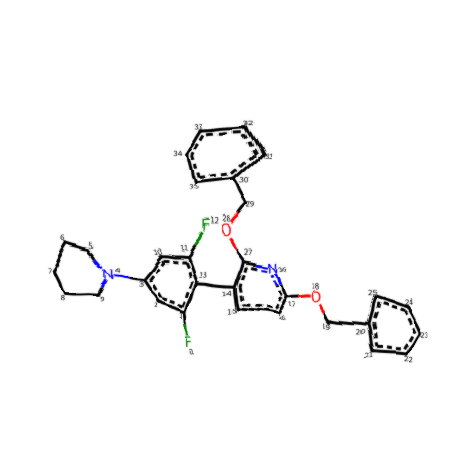 Fc1cc(N2CC[CH]CC2)cc(F)c1-c1ccc(OCc2ccccc2)nc1OCc1ccccc1